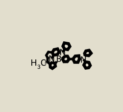 C[C@@H]1c2cccc3c2N2c4c(ccc5c4B3c3ccc(-c4ccc(N(c6ccccc6)c6ccccc6)cc4)cc3N5c3ccccc3)CCC12